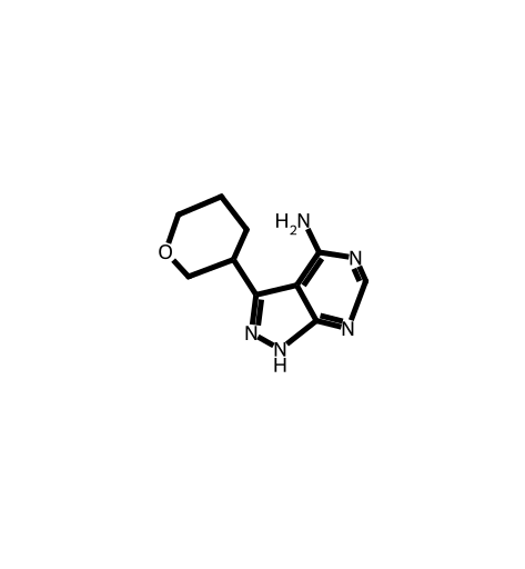 Nc1ncnc2[nH]nc(C3CCCOC3)c12